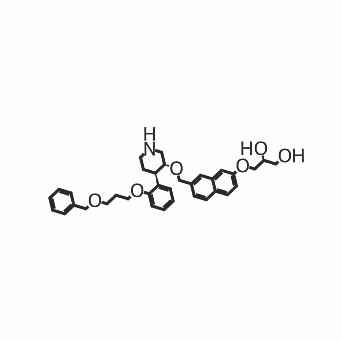 OC[C@H](O)COc1ccc2ccc(CO[C@H]3CNCC[C@@H]3c3ccccc3OCCCOCc3ccccc3)cc2c1